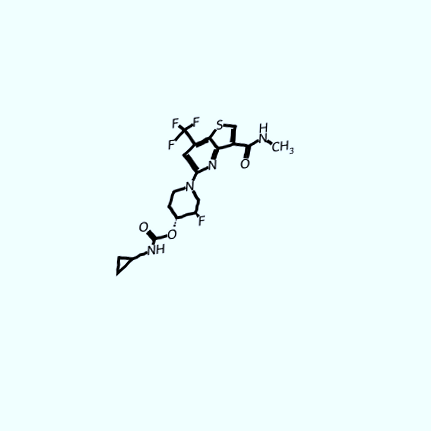 CNC(=O)c1csc2c(C(F)(F)F)cc(N3CC[C@@H](OC(=O)NC4CC4)[C@H](F)C3)nc12